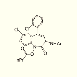 CCCC(=O)ON1C(=O)C(NC(C)=O)N=C(c2ccccc2Cl)c2cc(Cl)ccc21